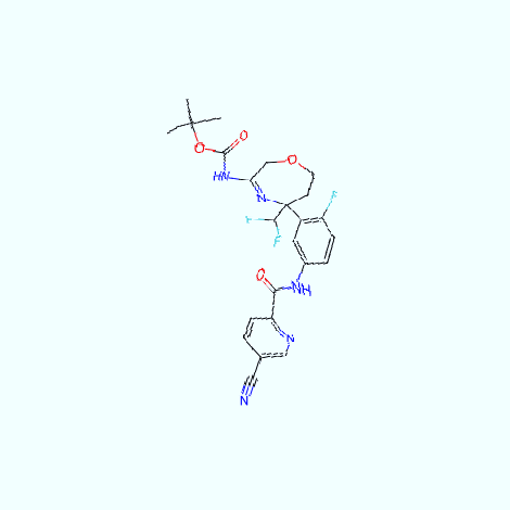 CC(C)(C)OC(=O)NC1=NC(c2cc(NC(=O)c3ccc(C#N)cn3)ccc2F)(C(F)F)CCOC1